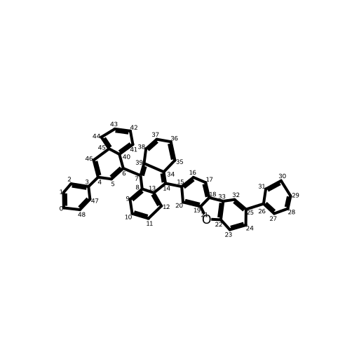 c1ccc(-c2cc(-c3c4ccccc4c(-c4ccc5c(c4)oc4ccc(-c6ccccc6)cc45)c4ccccc34)c3ccccc3c2)cc1